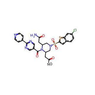 NC(=O)CC1CN(S(=O)(=O)c2cc3ccc(Cl)cc3s2)CC(CC(=O)N=O)N1C(=O)c1cnc(-c2ccncc2)nc1